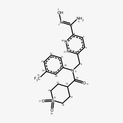 NC(=NO)c1ccc(CN(C(=O)C2CCS(=O)(=O)CC2)c2cccc(C(F)(F)F)c2)nn1